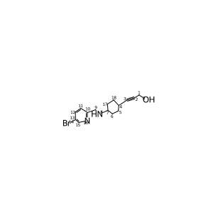 OCC#CC1CCC(NCc2ccc(Br)cn2)CC1